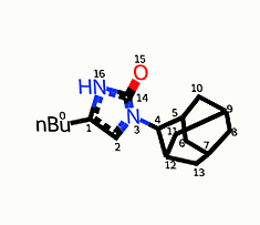 CCCCc1cn(C2C3CC4CC(C3)CC2C4)c(=O)[nH]1